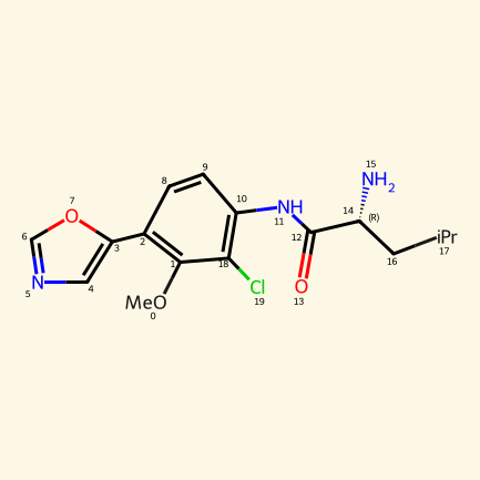 COc1c(-c2cnco2)ccc(NC(=O)[C@H](N)CC(C)C)c1Cl